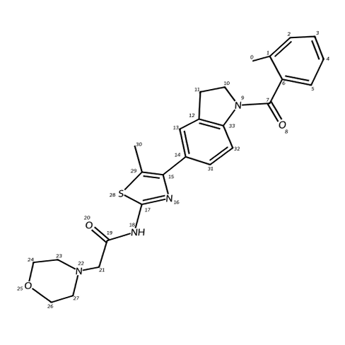 Cc1ccccc1C(=O)N1CCc2cc(-c3nc(NC(=O)CN4CCOCC4)sc3C)ccc21